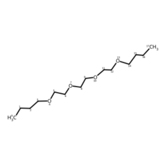 CCCCOCCOCCOCCOCCCC